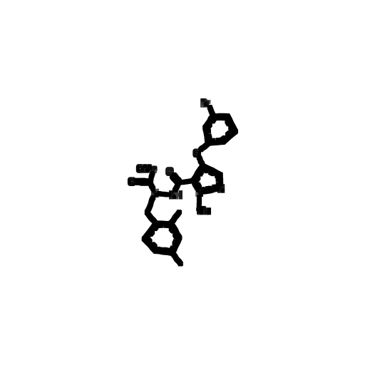 COC(=O)N(Cc1ccc(C)cc1C)NC(=O)c1c(Oc2cccc(Br)c2)cnn1C(C)(C)C